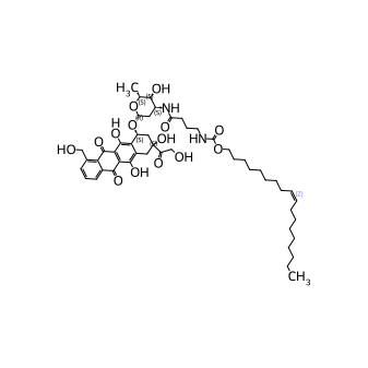 CCCCCCCC/C=C\CCCCCCCCOC(=O)NCCCC(=O)N[C@H]1C[C@H](O[C@H]2C[C@](O)(C(=O)CO)Cc3c(O)c4c(c(O)c32)C(=O)c2c(CO)cccc2C4=O)O[C@@H](C)[C@H]1O